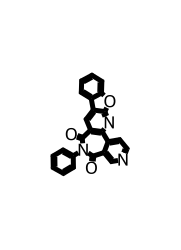 O=c1c2cnccc2c2nc3oc4ccccc4c3cc2c(=O)n1-c1ccccc1